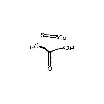 O=C(O)O.[S]=[Cu]